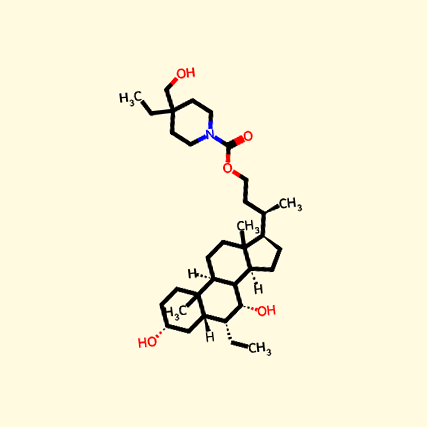 CC[C@H]1[C@@H](O)C2[C@@H]3CC[C@H]([C@H](C)CCOC(=O)N4CCC(CC)(CO)CC4)C3(C)CC[C@@H]2C2(C)CC[C@@H](O)C[C@@H]12